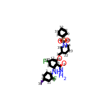 NC(=O)c1c(Nc2ccc(I)cc2F)cc(F)cc1OCC1CCCN(S(=O)(=O)c2ccccc2)C1